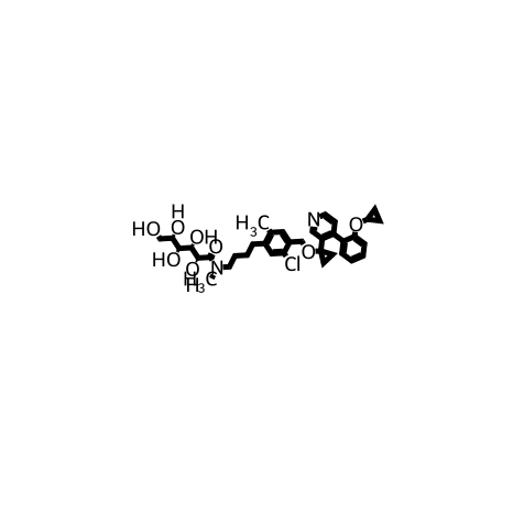 Cc1cc(COC2(c3cnccc3-c3ccccc3OC3CC3)CC2)c(Cl)cc1CCCCN(C)C(=O)[C@H](O)[C@H](O)[C@@H](O)[C@H](O)CO